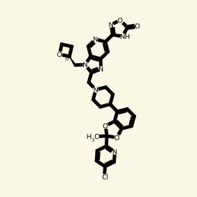 CC1(c2ccc(Cl)cn2)Oc2cccc(C3CCN(Cc4nc5cc(-c6noc(=O)[nH]6)ncc5n4C[C@@H]4CCO4)CC3)c2O1